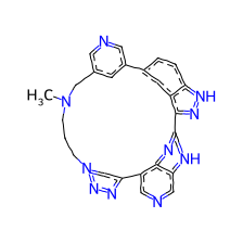 CN1CCCn2cc(nn2)-c2cncc3[nH]c(nc23)-c2n[nH]c3ccc(cc23)-c2cncc(c2)C1